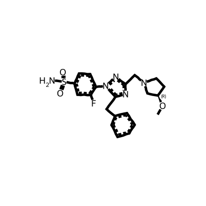 CO[C@@H]1CCN(Cc2nc(Cc3ccccc3)n(-c3ccc(S(N)(=O)=O)cc3F)n2)C1